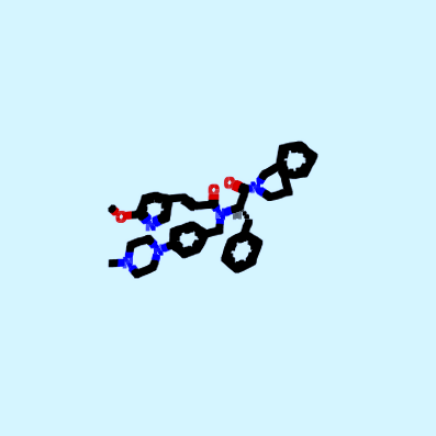 COc1ccc(C=CC(=O)N(Cc2ccc(N3CCN(C)CC3)cc2)[C@@H](Cc2ccccc2)C(=O)N2CCc3ccccc3C2)cn1